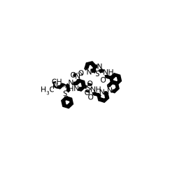 CN(C)CC[C@H](CSc1ccccc1)Nc1ncc(S(=O)(=O)NC(=O)c2cccc(N3CCc4cccc(C(=O)Nc5nc6cccnc6s5)c4C3)n2)cc1[N+](=O)[O-]